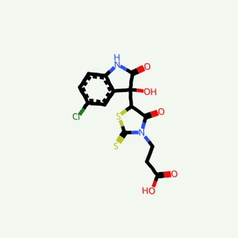 O=C(O)CCN1C(=O)C(C2(O)C(=O)Nc3ccc(Cl)cc32)SC1=S